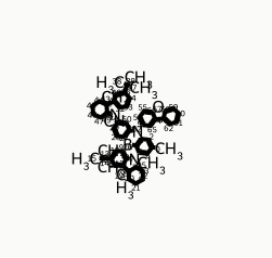 Cc1cc2c3c(c1)N1c4c(cc(C(C)(C)C)cc4C4(C)CCCCC14C)B3c1ccc(N3c4ccc(C(C)(C)C)cc4C4(C)CCCCC34C)cc1N2c1ccc2oc3ccccc3c2c1